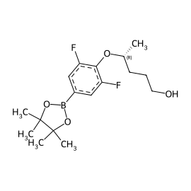 C[C@H](CCCO)Oc1c(F)cc(B2OC(C)(C)C(C)(C)O2)cc1F